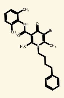 Cc1cccc(C)c1NC(=O)c1c(C)n(CCCCc2ccccc2)c(C)c(Br)c1=O